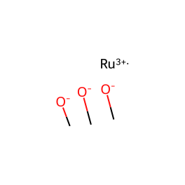 C[O-].C[O-].C[O-].[Ru+3]